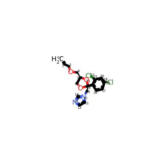 C=CCOC[C@@H]1CO[C@@](Cn2ccnc2)(c2ccc(Cl)cc2Cl)O1